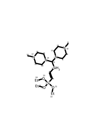 CCO[Si](C=C[SiH2]C(N1CCN(C)CC1)N1CCN(C)CC1)(OCC)OCC